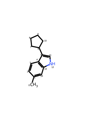 Cc1ccc2c(C3CCCC3)c[nH]c2c1